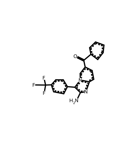 Nc1nc2ccc(C(=O)c3ccccc3)cn2c1-c1ccc(C(F)(F)F)cc1